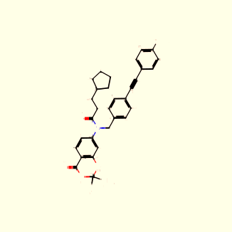 CCCCc1ccc(C#Cc2ccc(CN(C(=O)CCC3CCCC3)c3ccc4c(c3)OC(C)(C)OC4=O)cc2)cc1